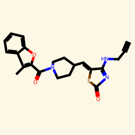 C#CCNC1=NC(=O)S/C1=C\C1CCN(C(=O)c2oc3ccccc3c2C)CC1